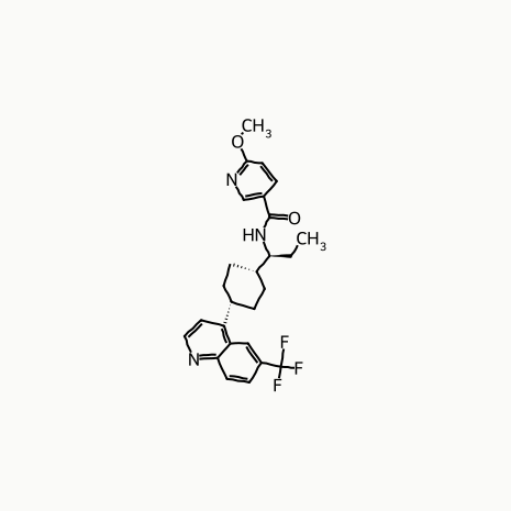 CC[C@H](NC(=O)c1ccc(OC)nc1)[C@H]1CC[C@@H](c2ccnc3ccc(C(F)(F)F)cc32)CC1